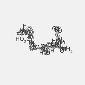 Cc1c(-c2ccc(N3CCc4cccc(C(=O)Nc5nc6ccccc6s5)c4C3)nc2C(=O)O)cnn1CC12CC3CC(C1)CC(OCCCN(CCP(=O)(O)O)C(=O)OCc1ccc(NC(=O)[C@H](CCCNC(N)=O)NC(=O)[C@@H](NC(=O)CCCCCN4C(=O)C=CC4=O)C(C)C)cc1)(C3)C2